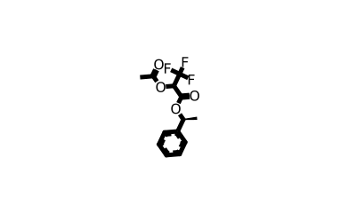 CC(=O)OC(C(=O)O[C@@H](C)c1ccccc1)C(F)(F)F